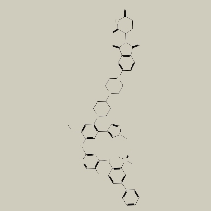 COc1cc(N2CCC(N3CCN(c4ccc5c(c4)C(=O)N(C4CCC(=O)NC4=O)C5=O)CC3)CC2)c(-c2cnn(C)c2)cc1Nc1ncc(Cl)c(Nc2ccc(-c3ccccc3)cc2P(C)(C)=O)n1